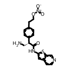 NC[C@@H](C(=O)Nc1cc2ccncc2s1)c1ccc(CCO[N+](=O)[O-])cc1